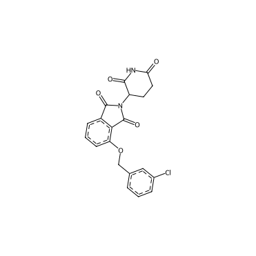 O=C1CCC(N2C(=O)c3cccc(OCc4cccc(Cl)c4)c3C2=O)C(=O)N1